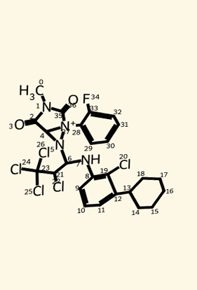 CN1C(=O)C2N(C(Nc3cccc(C4CCCCC4)c3Cl)C(Cl)C(Cl)(Cl)Cl)[N+]2(c2ccccc2F)C1=O